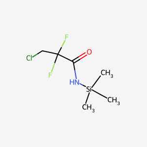 C[Si](C)(C)NC(=O)C(F)(F)CCl